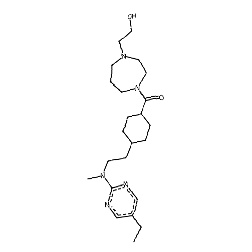 CCc1cnc(N(C)CCC2CCC(C(=O)N3CCCN(CCO)CC3)CC2)nc1